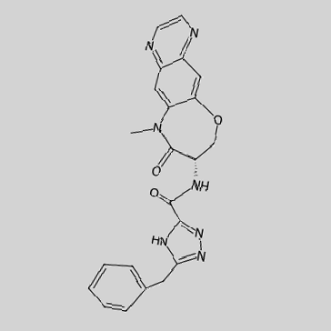 CN1C(=O)[C@@H](NC(=O)c2nnc(Cc3ccccc3)[nH]2)COc2cc3nccnc3cc21